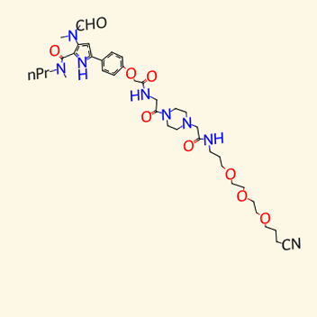 CCCN(C)C(=O)c1[nH]c(-c2ccc(OCC(=O)NCC(=O)N3CCN(CC(=O)NCCCOCCOCCOCCCC#N)CC3)cc2)cc1N(C)C=O